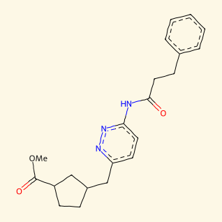 COC(=O)C1CCC(Cc2ccc(NC(=O)CCc3ccccc3)nn2)C1